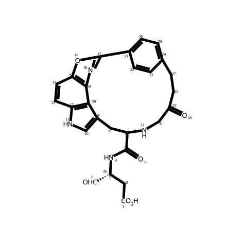 O=C[C@@H](CC(=O)O)NC(=O)C1Cc2c[nH]c3ccc4oc(nc4c23)-c2ccc(cc2)CCC(=O)CN1